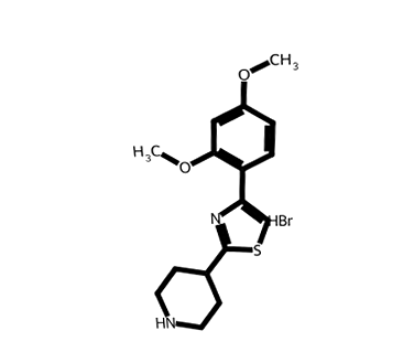 Br.COc1ccc(-c2csc(C3CCNCC3)n2)c(OC)c1